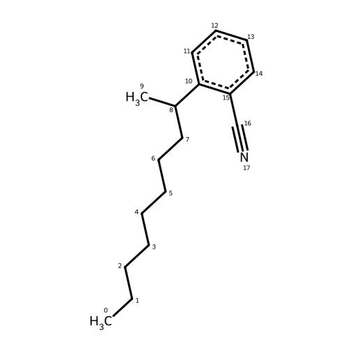 CCCCCCCCC(C)c1ccccc1C#N